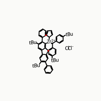 CC(C)(C)c1ccc([C](c2ccc(C(C)(C)C)cc2)=[Zr+2]([c]2c3c(cc(C(C)(C)C)c2-c2ccccc2)-c2cc(C(C)(C)C)c(-c4ccccc4)cc2C3)[CH]2C=CC=C2)cc1.[Cl-].[Cl-]